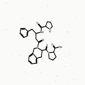 O=C(NC(CC(=O)N1Cc2ccccc2CC1C(=O)N1CCCC1C(=O)O)Cc1ccccc1)C1CCCN1